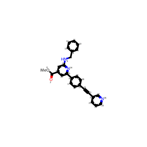 COC(=O)c1cc(NCc2ccccc2)nc(-c2ccc(C#Cc3cccnc3)cc2)c1